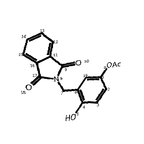 CC(=O)Oc1ccc(O)c(CN2C(=O)c3ccccc3C2=O)c1